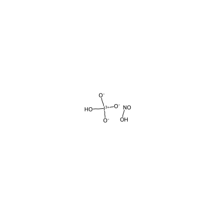 O=NO.[O-][I+3]([O-])([O-])O